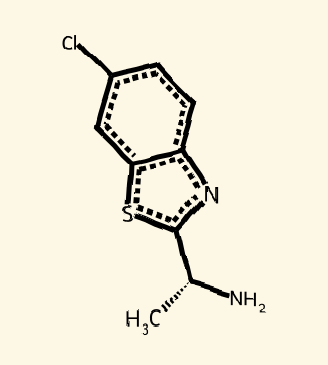 C[C@@H](N)c1nc2ccc(Cl)cc2s1